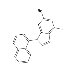 Cc1cc(Br)cc2c1C=CC2c1cccc2ccccc12